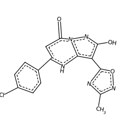 Cc1noc(-c2c(O)nn3c(=O)cc(-c4ccc(Cl)cc4)[nH]c23)n1